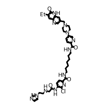 CCc1cc2ncc(CN3CCN(c4ccc(C(=O)NCCCCCCCNC(=O)c5ccc(NC(=O)CNCCn6ccnn6)c(Cl)n5)nc4)CC3)cc2[nH]c1=O